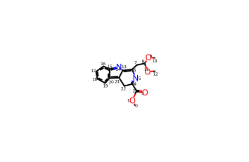 COC(=O)C1=NC(CC(OC)OC)=C2N=c3ccccc3=C2C1